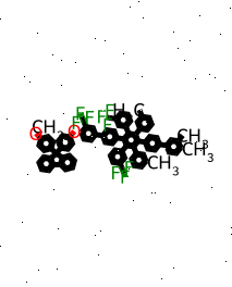 COc1ccc(C2(c3ccc(Oc4ccc(-c5ccc(-c6c(-c7cccc(C(F)(F)F)c7)c(-c7cccc(C)c7)c(-c7ccc(-c8ccc(C)c(C)c8)cc7)c(-c7cccc(C)c7)c6-c6cccc(C(F)(F)F)c6)cc5)cc4C(F)(F)F)cc3)c3ccccc3-c3ccccc32)cc1